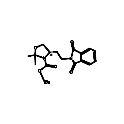 CC(C)(C)OC(=O)N1[C@@H](CCN2C(=O)c3ccccc3C2=O)COC1(C)C